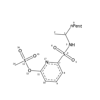 CCCCCC(C)NS(=O)(=O)c1cccc(OS(C)(=O)=O)n1